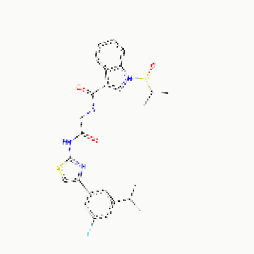 CC(C)c1cc(F)cc(-c2csc(NC(=O)CNC(=O)c3cn([S+]([O-])C(C)C)c4ccccc34)n2)c1